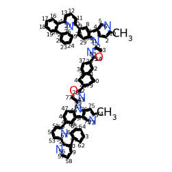 Cc1cc2c(cn1)c1cc(-c3cccc(-c4ccccc4-c4ccccc4)n3)ccc1n2-c1coc(-c2ccc3cc(-c4nc(-n5c6ccc(-c7cccc(-c8ncccc8-c8ccccc8)n7)cc6c6cnc(C)cc65)co4)ccc3c2)n1